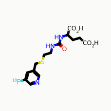 O=C(O)CCC(NC(=O)NCCSCc1cncc([18F])c1)C(=O)O